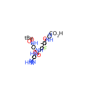 Cc1cc(C(=O)NC2CCN(C(=O)O)CC2)ccc1-c1ccc(C[C@H](NC(=O)[C@H]2CC[C@H](CNC(=O)OC(C)(C)C)CC2)C(=O)Nc2ccc(-c3nn[nH]n3)cc2)cc1F